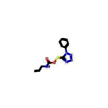 C=CCNC(=O)OSc1nnnn1-c1ccccc1